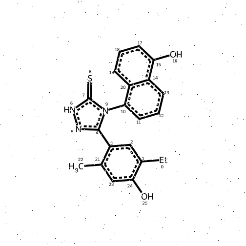 CCc1cc(-c2n[nH]c(=S)n2-c2cccc3c(O)cccc23)c(C)cc1O